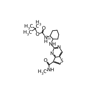 CNC(=O)c1csc2cnc(NC3CCCC[C@@H]3NC(=O)OC(C)(C)C)nc12